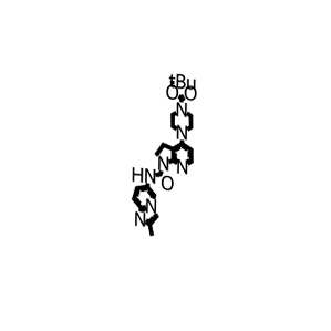 Cc1cn2cc(NC(=O)N3CCc4c(N5CCN(C(=O)OC(C)(C)C)CC5)ccnc43)ccc2n1